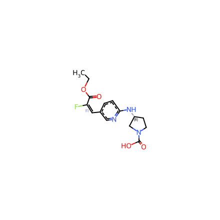 CCOC(=O)/C(F)=C\c1ccc(N[C@@H]2CCN(C(=O)O)C2)nc1